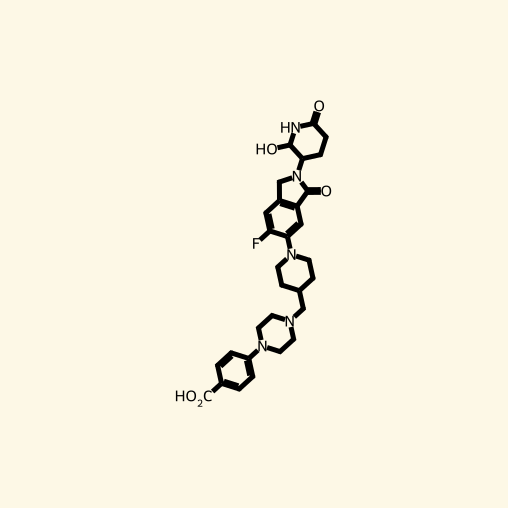 O=C1CCC(N2Cc3cc(F)c(N4CCC(CN5CCN(c6ccc(C(=O)O)cc6)CC5)CC4)cc3C2=O)C(O)N1